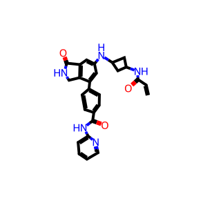 C=CC(=O)NC1CC(Nc2cc3c(c(-c4ccc(C(=O)Nc5ccccn5)cc4)c2)CNC3=O)C1